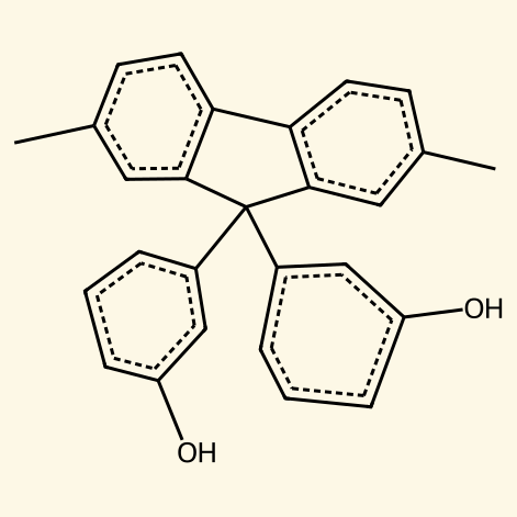 Cc1ccc2c(c1)C(c1cccc(O)c1)(c1cccc(O)c1)c1cc(C)ccc1-2